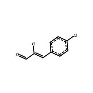 O=CC(Cl)=Cc1ccc(Cl)cc1